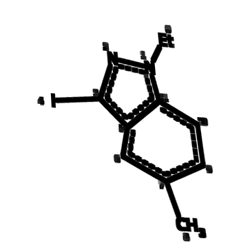 CCn1nc(I)c2cc(C)ccc21